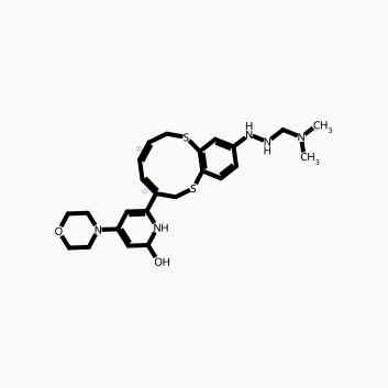 CN(C)CNNc1ccc2c(c1)SC/C=C\C=C(\C1=CC(N3CCOCC3)=CC(O)N1)CS2